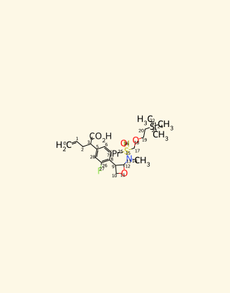 C=CCC(C(=O)O)c1ccc(C2COC2N(C)[SH](=O)(COCC[Si](C)(C)C)C(C)C)c(F)c1